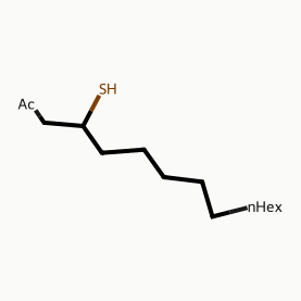 CCCCCCCCCCCC(S)CC(C)=O